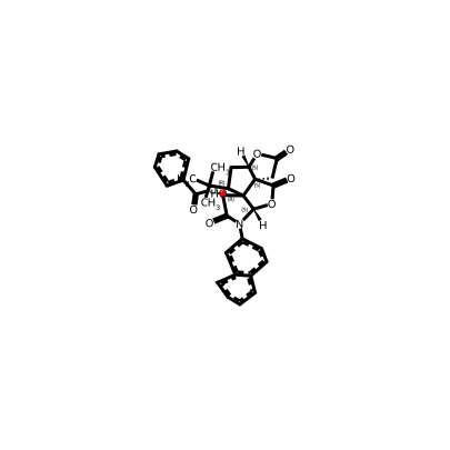 CC(C)(C)[C@]1(O)C[C@@H]2OC(=O)C[C@@]23C(=O)O[C@@H]2N(c4ccc5ccccc5c4)C(=O)[C@H](OC(=O)c4ccccc4)C213